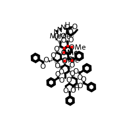 COC[C@@H]1O[C@@H](O[C@H]2C3CO[C@H](O3)C(N=[N+]=[N-])[C@@H]2OC)C(OC)C(OC)[C@@H]1O[C@H]1O[C@@H](COC(=O)c2ccccc2)[C@@H](O[C@@H]2OC(COC(=O)c3ccccc3)[C@@H](O[C@@H]3OC4COC(c5ccccc5)O[C@H]4[C@H](OC(=O)c4ccccc4)C3OC(=O)c3ccccc3)[C@H](OC(=O)c3ccccc3)C2OC(=O)c2ccccc2)C(OC)C1OC